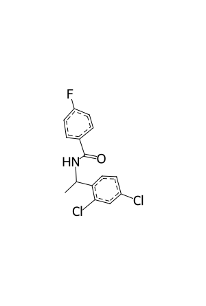 CC(NC(=O)c1ccc(F)cc1)c1ccc(Cl)cc1Cl